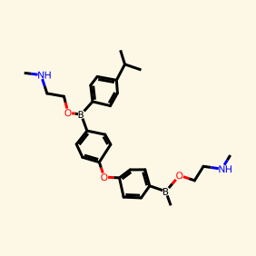 CNCCOB(C)c1ccc(Oc2ccc(B(OCCNC)c3ccc(C(C)C)cc3)cc2)cc1